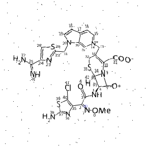 CO/N=C(\C(=O)N[C@@H]1C(=O)N2C(C(=O)[O-])=C(C[n+]3ccc4ccn(Cc5nc(C(=N)N)cs5)c4c3)CS[C@H]12)c1nc(N)sc1Cl